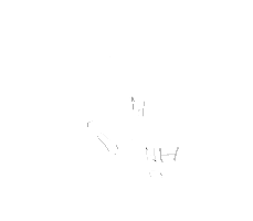 CONC(=O)Nc1c(F)cccc1C(C)C